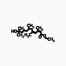 CCOC(=O)C=C(C)C=C(C)CC(C)CCCC(C)(C)O